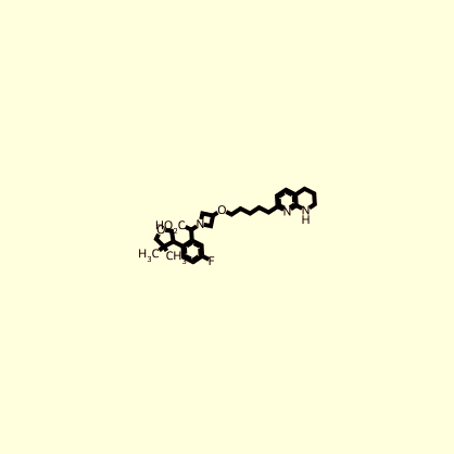 CC1(C)COCC1c1ccc(F)cc1C(C(=O)O)N1CC(OCCCCCc2ccc3c(n2)NCCC3)C1